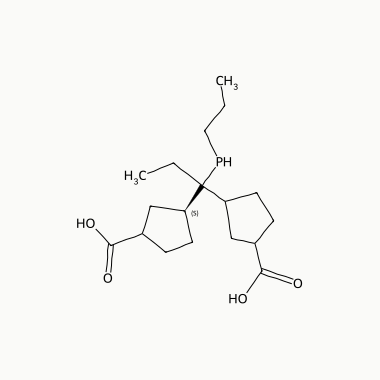 CCCPC(CC)(C1CCC(C(=O)O)C1)[C@H]1CCC(C(=O)O)C1